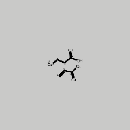 C=CC(=O)[O-].O=C(O)C[CH2][Ca+]